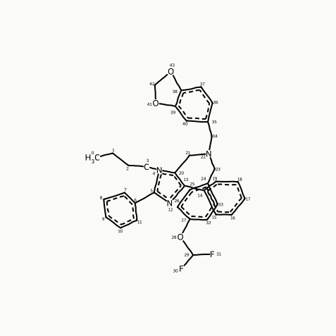 CCCCn1c(-c2ccccc2)nc(-c2ccccc2)c1CN(Cc1ccc(OC(F)F)cc1)Cc1ccc2c(c1)OCO2